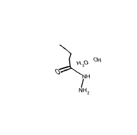 CCC(=O)NN.Cl.O